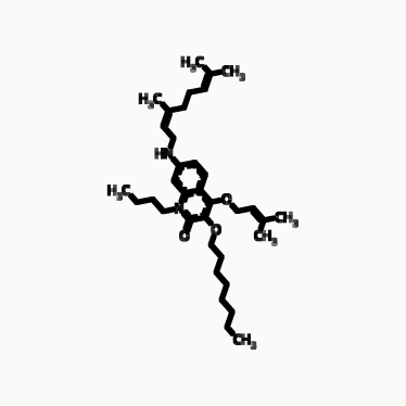 CCCCCCCCOc1c(OCC=C(C)C)c2ccc(NCC=C(C)CCC=C(C)C)cc2n(CCCC)c1=O